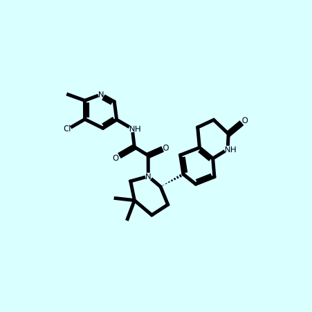 Cc1ncc(NC(=O)C(=O)N2CC(C)(C)CC[C@H]2c2ccc3c(c2)CCC(=O)N3)cc1Cl